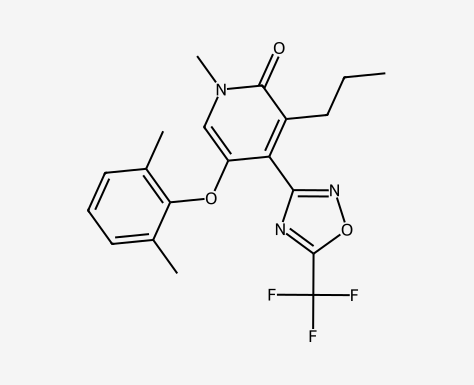 CCCc1c(-c2noc(C(F)(F)F)n2)c(Oc2c(C)cccc2C)cn(C)c1=O